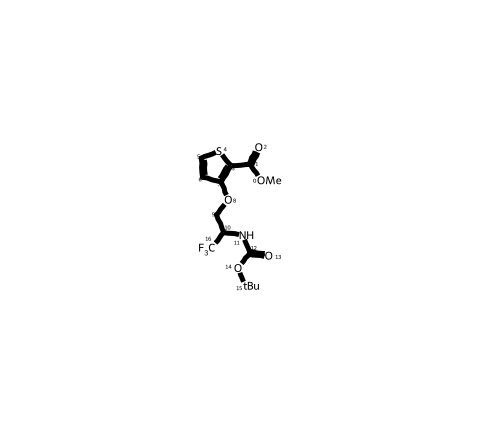 COC(=O)c1sccc1OCC(NC(=O)OC(C)(C)C)C(F)(F)F